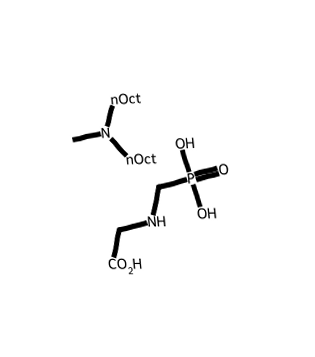 CCCCCCCCN(C)CCCCCCCC.O=C(O)CNCP(=O)(O)O